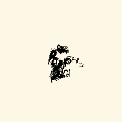 COCCn1cc(C(=O)N2CCC(c3cc(CNC(=O)C(F)(F)F)ccc3F)CC2)c2c(OC(F)(F)F)ccc(Cl)c21